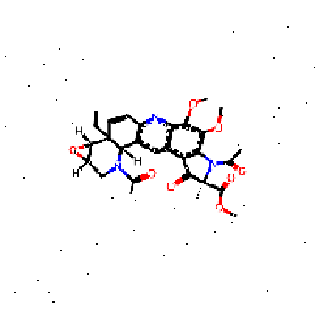 CCC12C=Cc3nc4c(OC)c(OC)c5c(c4cc3[C@@H]1N(C(C)=O)C[C@@H]1O[C@@H]12)C(=O)[C@](C)(C(=O)OC)N5C(C)=O